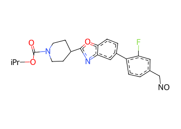 CC(C)OC(=O)N1CCC(c2nc3cc(-c4ccc(CN=O)cc4F)ccc3o2)CC1